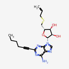 C=CCSC[C@H]1O[C@@H](n2cnc3c(N)nc(C#CCCCC)nc32)[C@H](O)[C@@H]1O